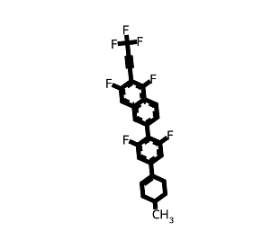 CC1CC=C(c2cc(F)c(-c3ccc4c(F)c(C#CC(F)(F)F)c(F)cc4c3)c(F)c2)CC1